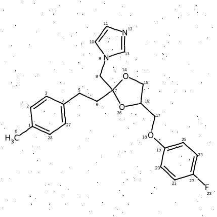 Cc1ccc(CCC2(Cn3ccnc3)OCC(COc3ccc(F)cc3)O2)cc1